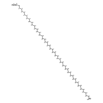 CCCCCCCCCCCCCCCCCCCCCCCCCCCCCCCCCCCCCCCCCCCCCCCCCCCCCCCCCCCCCCCCCC(C)C